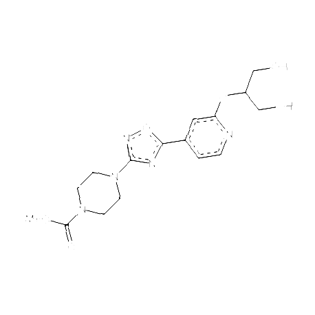 COC(=O)N1CCN(c2noc(-c3ccnc(OC(CO)CO)c3)n2)CC1